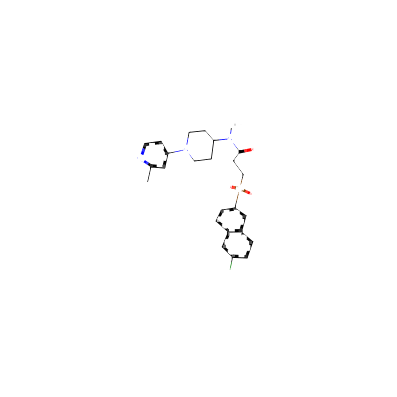 CCCCN(C(=O)CCS(=O)(=O)c1ccc2cc(Cl)ccc2c1)C1CCN(c2ccnc(C)c2)CC1